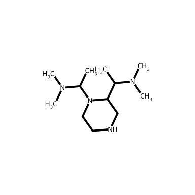 CC(C1CNCCN1C(C)N(C)C)N(C)C